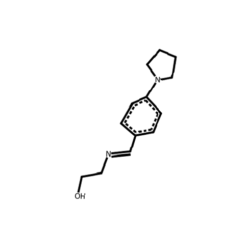 OCC/N=C/c1ccc(N2CCCC2)cc1